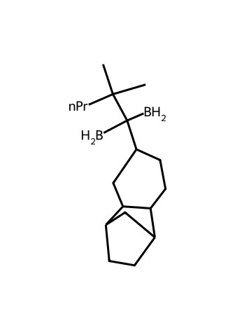 BC(B)(C1CCC2C3CCC(C3)C2C1)C(C)(C)CCC